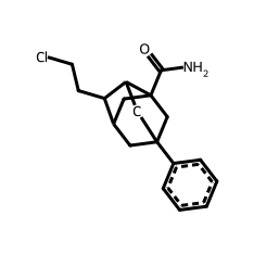 NC(=O)C12CC3CC(c4ccccc4)(CC1C3CCCl)C2